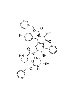 CC(C)[C@H](NC(=O)OCc1ccccc1)C(=O)N[C@@H](Cc1ccccc1)[C@H](CN(Cc1ccc(F)cc1)NC(=O)[C@@H](NC(=O)OCc1ccccc1)C(C)C)OC(=O)C1CCCN1